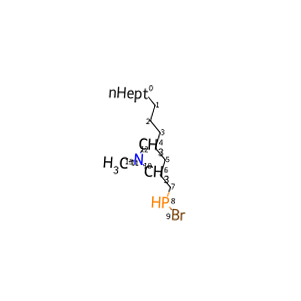 CCCCCCCCCCCCCCPBr.CN(C)C